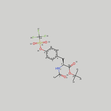 CC(=O)N[C@@H](Cc1ccc(OS(=O)(=O)C(F)(F)F)cc1)C(=O)OC(C)(C)C